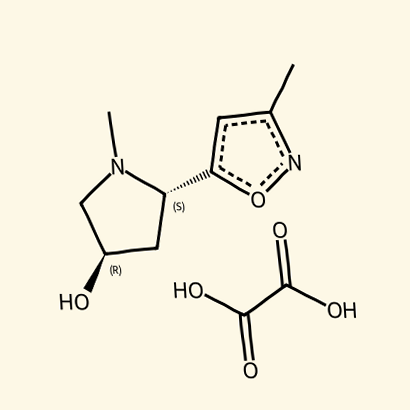 Cc1cc([C@@H]2C[C@@H](O)CN2C)on1.O=C(O)C(=O)O